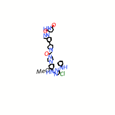 COc1cc(N2CCN(C(=O)CN3CCC(c4ccc5c(cnn5C5CCC(=O)NC5=O)c4)CC3)CC2)ccc1Nc1ncc(Cl)c(Nc2ccccc2)n1